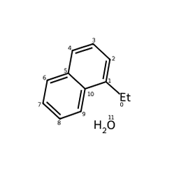 CCc1cccc2ccccc12.O